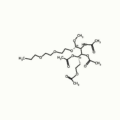 CCCOCCOCCO[C@H](OC)C(NC(C)=O)C(OC(C)=O)[C@H](CCOC(C)=O)OC(C)=O